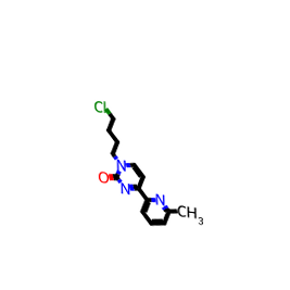 Cc1cccc(-c2ccn(CCCCCl)c(=O)n2)n1